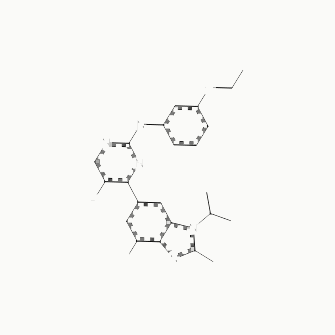 CCOc1[c]ccc(Nc2ncc(F)c(-c3cc(F)c4nc(C)n(C(C)C)c4c3)n2)c1